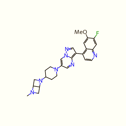 COc1cc2c(-c3cnn4cc(N5CCC(N6CC7C6CN7C)CC5)cnc34)ccnc2cc1F